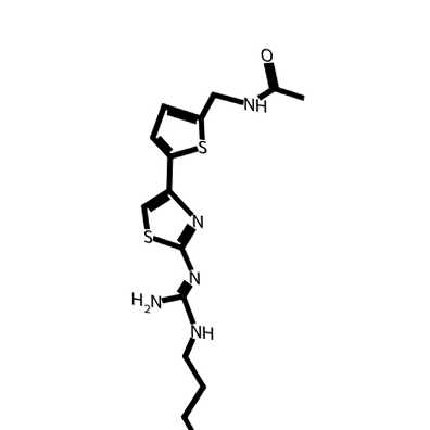 CCCCN/C(N)=N/c1nc(-c2ccc(CNC(C)=O)s2)cs1